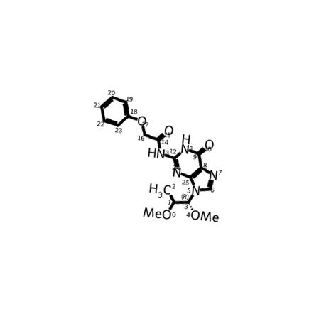 COC(C)[C@@H](OC)n1cnc2c(=O)[nH]c(NC(=O)COc3ccccc3)nc21